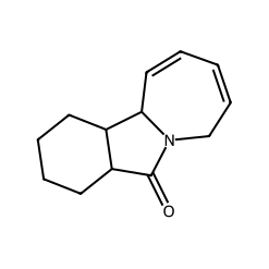 O=C1C2CCCCC2C2C=CC=CCN12